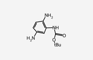 CC(C)(C)OC(=O)Nc1cc(N)ccc1N